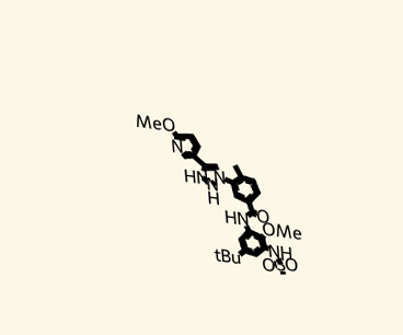 COc1ccc(C2=CN(c3cc(C(=O)Nc4cc(C(C)(C)C)cc(NS(C)(=O)=O)c4OC)ccc3C)NN2)cn1